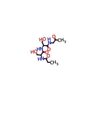 CCC(=O)NC(CO)C(=O)NC(CO)C(=O)NCC(C)=O